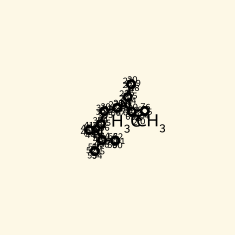 CC1(C)c2ccccc2-c2cc(N(c3ccc(-c4ccccc4)cc3)c3ccc(-c4cccc(-c5ccc6c(c5)c5ccccc5n6-c5cc(-c6ccccc6)cc(-c6ccccc6)c5)c4)cc3)ccc21